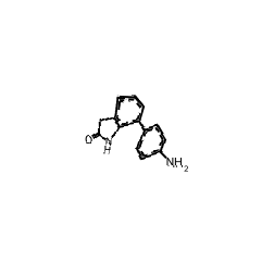 Nc1ccc(-c2cccc3c2NC(=O)C3)cc1